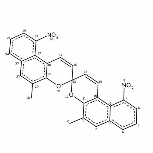 Cc1cc2cccc([N+](=O)[O-])c2c2c1OC1(C=C2)C=Cc2c(c(C)cc3cccc([N+](=O)[O-])c23)O1